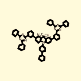 CC1(C)c2cc(-c3cccc(-c4nc(-c5ccccc5)nc(-c5ccccc5)n4)c3)ccc2N(c2ccc(-c3ccccc3)cc2)c2ccc(-c3cccc(-c4nc(-c5ccccc5)nc(-c5ccccc5)n4)c3)cc21